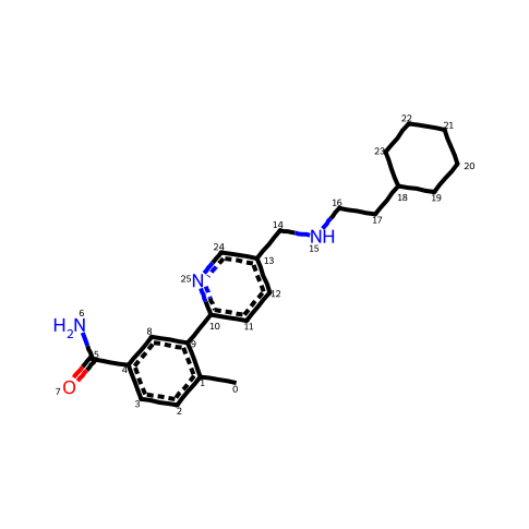 Cc1ccc(C(N)=O)cc1-c1ccc(CNCCC2CCCCC2)cn1